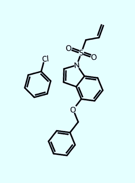 C=CCS(=O)(=O)n1ccc2c(OCc3ccccc3)cccc21.Clc1ccccc1